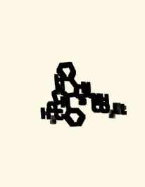 CCOC(=O)Nc1nc(-c2ccccc2)c(C2NCC(=O)N2c2ccccc2C)s1